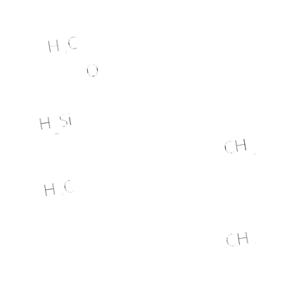 CO[SiH2]C(C)CCC(C)C